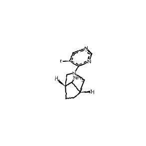 NC1[C@@H]2CC[C@H]1CN(c1ncncc1F)C2